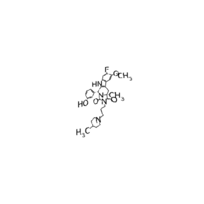 COc1cc2c3c([nH]c2cc1F)[C@@H](c1cccc(O)c1)N1C(=O)N(CCCN2CCC(C)CC2)C(=O)[C@]1(C)C3